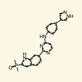 CP(C)(=O)c1cc2ccc(-c3nccc(Nc4ccc(-c5cn[nH]c5)cc4)n3)cc2[nH]1